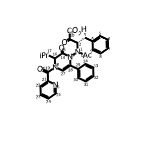 CC(=O)N([C@@H](Cc1ccccc1)C(=O)C(=O)O)N1C(=O)C(C(C)C)N(C(=O)c2ccccn2)C=C1c1ccccc1